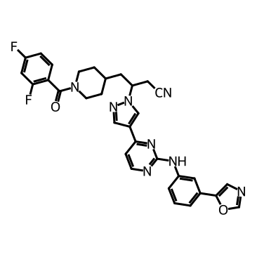 N#CCC(CC1CCN(C(=O)c2ccc(F)cc2F)CC1)n1cc(-c2ccnc(Nc3cccc(-c4cnco4)c3)n2)cn1